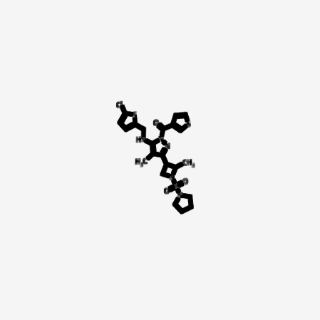 Cc1c(C2CN(S(=O)(=O)N3CCCC3)C2C)nn(C(=O)c2ccsc2)c1NCc1ccc(Cl)s1